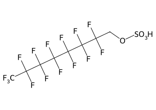 O=S(=O)(O)OCC(F)(F)C(F)(F)C(F)(F)C(F)(F)C(F)(F)C(F)(F)C(F)(F)F